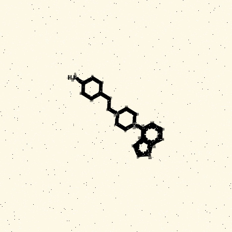 NC1CCC(CCN2CCN(c3cccc4sccc34)CC2)CC1